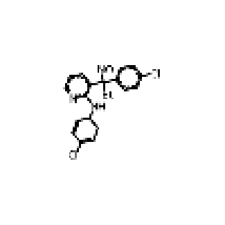 CCC(N=O)(c1ccc(Cl)cc1)c1cccnc1NC1C=CC(Cl)=CC1